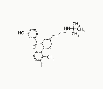 Cc1c(F)cccc1C1[CH]CN(CCCCNC(C)(C)C)CC1C(=O)c1cccc(O)c1